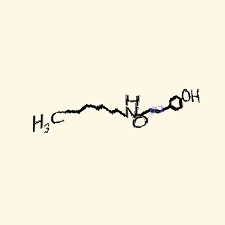 CCCCCCCCCNC(=O)/C=C/c1ccc(O)cc1